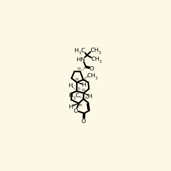 CC(C)(C)NC(=O)[C@H]1CC[C@H]2[C@@H]3CC[C@H]4OC(=O)C=C[C@]4(C)[C@H]3CC[C@]12C